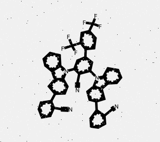 N#Cc1ccccc1-c1ccc2c(c1)c1ccccc1n2-c1cc(-c2ccc(C(F)(F)F)cc2C(F)(F)F)cc(-n2c3ccccc3c3cc(-c4ccccc4C#N)ccc32)c1C#N